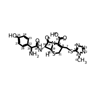 Cn1nnnc1SCC1=C(C(=O)O)N2C(=O)[C@@H](NC(=O)C(N)c3ccc(O)cc3)[C@@H]2SC1